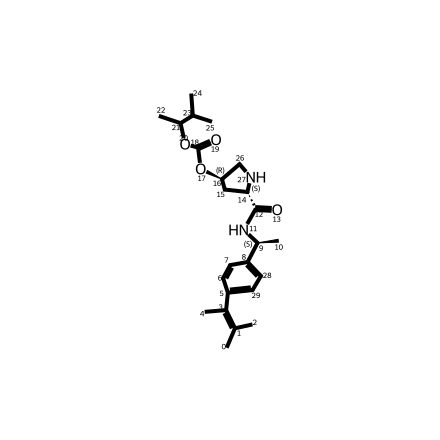 CC(C)=C(C)c1ccc([C@H](C)NC(=O)[C@@H]2C[C@@H](OC(=O)OC(C)C(C)C)CN2)cc1